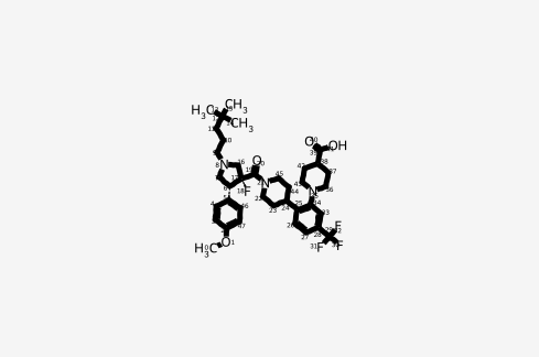 COc1ccc([C@@H]2CN(CCCC(C)(C)C)C[C@@]2(F)C(=O)N2CCC(c3ccc(C(F)(F)F)cc3N3CCC(C(=O)O)CC3)CC2)cc1